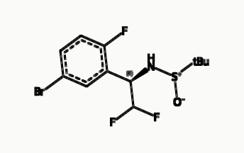 CC(C)(C)[S+]([O-])N[C@H](c1cc(Br)ccc1F)C(F)F